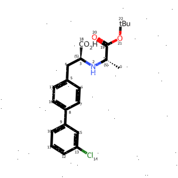 C[C@H](N[C@@H](Cc1ccc(-c2cccc(Cl)c2)cc1)C(=O)O)C(=O)OC(C)(C)C